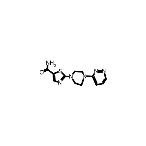 NC(=O)c1cnc(N2CCN(c3cccnn3)CC2)s1